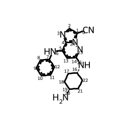 N#Cc1cnc2c(Nc3ccccc3)cc(N[C@H]3CC[C@H](N)CC3)nn12